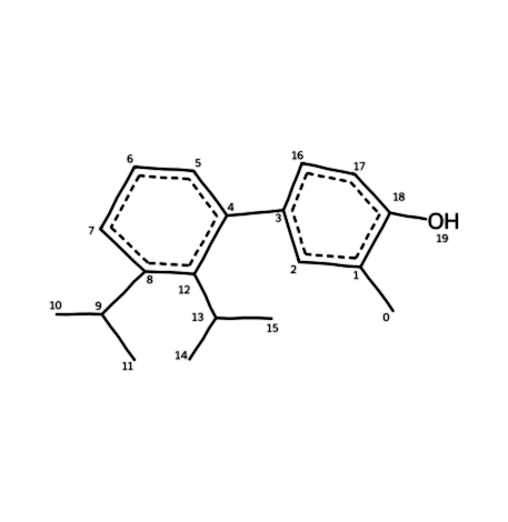 Cc1cc(-c2cccc(C(C)C)c2C(C)C)ccc1O